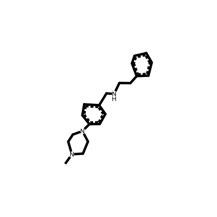 CN1CCN(c2ccc(CNCCc3ccccc3)cc2)CC1